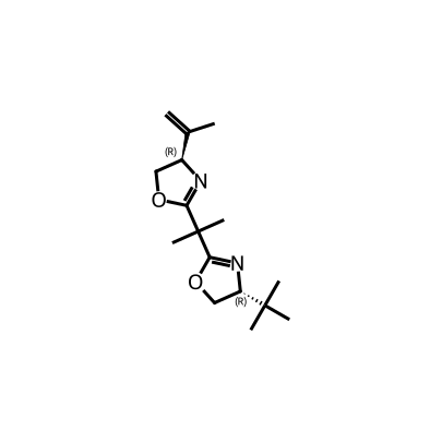 C=C(C)[C@@H]1COC(C(C)(C)C2=N[C@H](C(C)(C)C)CO2)=N1